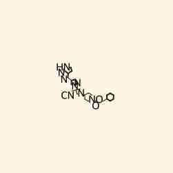 N#CCC1(n2cc(-c3ncnc4[nH]ccc34)cn2)CN(C2CCN(C(=O)OCc3ccccc3)CC2)C1